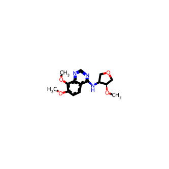 COc1ccc2c(NC3COC[C@H]3OC)ncnc2c1OC